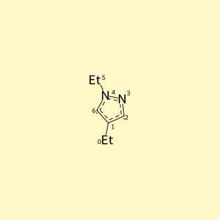 CCc1[c]nn(CC)[c]1